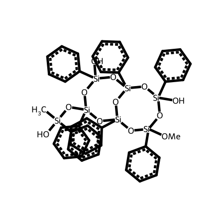 CO[Si]1(c2ccccc2)O[Si](O)(c2ccccc2)O[Si]2(c3ccccc3)O[Si](O)(c3ccccc3)O[Si](O[Si](C)(O)c3ccccc3)(c3ccccc3)O[Si](c3ccccc3)(O1)O2